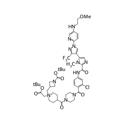 COCCNc1ccc(-n2cc(-c3cnc(C(=O)Nc4ccc(C(=O)N5CCN(C(=O)C6CC[N+](CC(=O)OC(C)(C)C)(CC7CN(C(=O)OC(C)(C)C)C7)CC6)CC5)c(Cl)c4)n3C)c(C(F)(F)F)n2)nc1